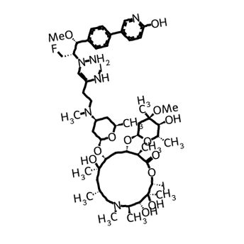 CO[C@H](c1ccc(-c2ccc(O)nc2)cc1)[C@@H](CF)N(N)/C=C(/CCN(C)[C@@H]1C[C@H](O[C@@H]2C[C@H](O[C@H]3C[C@@](C)(OC)[C@@H](O)[C@H](C)O3)[C@@H](C)C(=O)O[C@H](I)[C@@](C)(O)[C@H](O)[C@@H](C)N(C)C[C@H](C)C[C@@]2(C)O)O[C@H](C)C1)NI